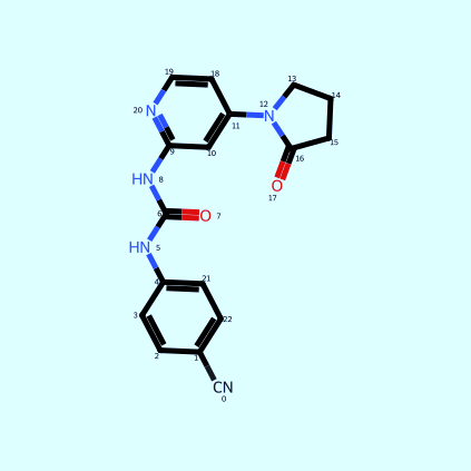 N#Cc1ccc(NC(=O)Nc2cc(N3CCCC3=O)ccn2)cc1